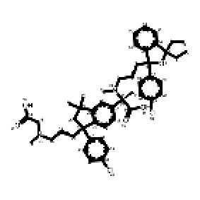 CCC1(CC)OC(CCCN(C)[C@](C)(C(=O)O)c2ccc3c(c2)C(C)(C)CC3(CCCN(C)CC(=O)O)c2ccc(Cl)cc2)(c2ccc(Cl)cc2)c2ccccc21